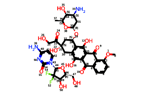 COc1cccc2c1C(=O)c1c(O)c3c(c(O)c1C2=O)C[C@@](O)(C(=O)CO)C[C@@H]3O[C@H]1C[C@H](N)[C@H](O)[C@H](C)O1.Nc1ccn([C@@H]2O[C@H](CO)[C@@H](O)C2(F)F)c(=O)n1